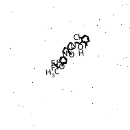 C[C@H](Oc1ccc(N2CCC3(CCN(CC(O)c4c(F)cccc4Cl)CC3)C2=O)cc1)C(F)(F)F